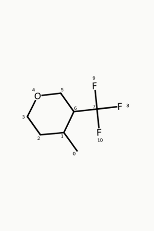 CC1CCOCC1C(F)(F)F